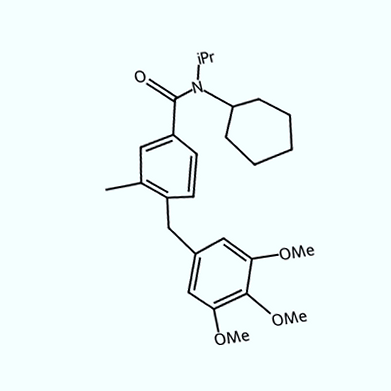 COc1cc(Cc2ccc(C(=O)N(C(C)C)C3CCCCC3)cc2C)cc(OC)c1OC